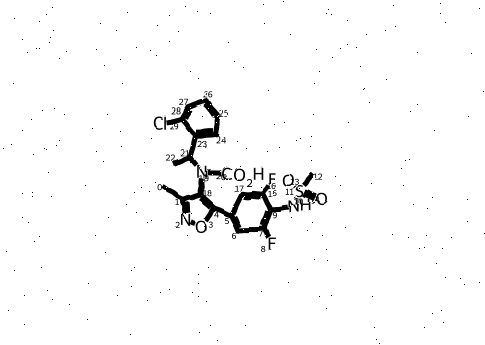 Cc1noc(-c2cc(F)c(NS(C)(=O)=O)c(F)c2)c1N(C(=O)O)C(C)c1ccccc1Cl